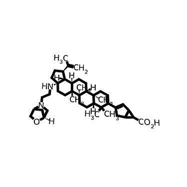 C=C(C)[C@@H]1CC[C@]2(NCCN3C[C@@H]4CC3CO4)CC[C@]3(C)[C@H](CC[C@@H]4[C@@]5(C)CC=C(C6=CC7C(C6)C7C(=O)O)C(C)(C)[C@@H]5CC[C@]43C)[C@@H]12